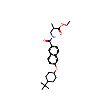 CCOC(=O)C(C)CNC(=O)c1ccc2cc(OC3CCC(C(C)(C)C)CC3)ccc2c1